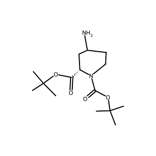 CC(C)(C)OC(=O)[C@@H]1CC(N)CCN1C(=O)OC(C)(C)C